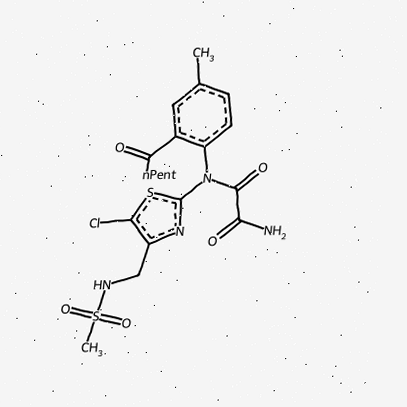 CCCCCC(=O)c1cc(C)ccc1N(C(=O)C(N)=O)c1nc(CNS(C)(=O)=O)c(Cl)s1